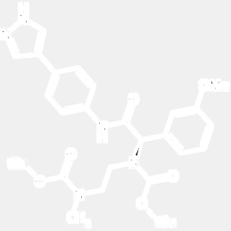 COc1cccc([C@H](C(=O)Nc2ccc(-c3cn[nH]c3)cc2)N(CCN(C)C(=O)OC(C)(C)C)C(=O)OC(C)(C)C)c1